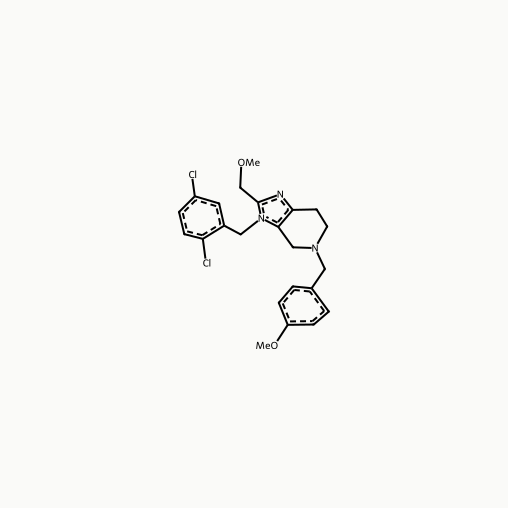 COCc1nc2c(n1Cc1cc(Cl)ccc1Cl)CN(Cc1ccc(OC)cc1)CC2